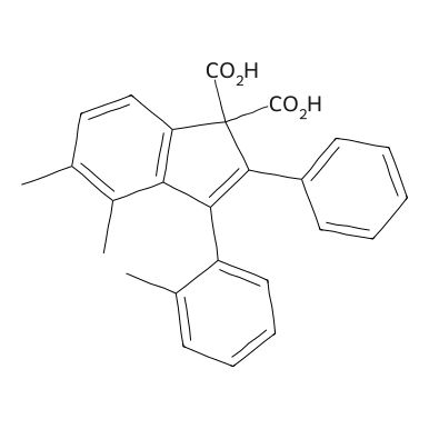 Cc1ccccc1C1=C(c2ccccc2)C(C(=O)O)(C(=O)O)c2ccc(C)c(C)c21